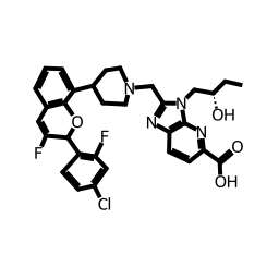 CC[C@H](O)Cn1c(CN2CCC(c3cccc4c3OC(c3ccc(Cl)cc3F)C(F)=C4)CC2)nc2ccc(C(=O)O)nc21